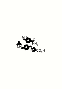 Cc1cnn(Cc2ccc(Cn3cc(C(=O)O)cn3)cc2)c1.NCc1ccc(C(N)=O)cc1